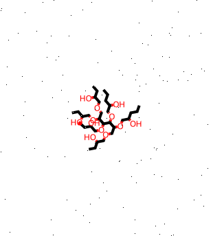 CCCC(O)COC(COCC(O)CC)C(OCC(O)CCC)C(OCC(O)CC)C(COCC(O)CC)OCC(O)CC